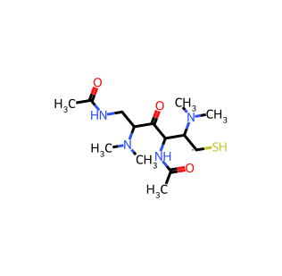 CC(=O)NCC(C(=O)C(NC(C)=O)C([CH]S)N(C)C)N(C)C